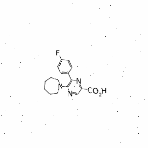 O=C(O)c1cnc(N2CCCCCC2)c(-c2ccc(F)cc2)n1